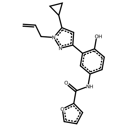 C=CCn1nc(-c2cc(NC(=O)c3ccco3)ccc2O)cc1C1CC1